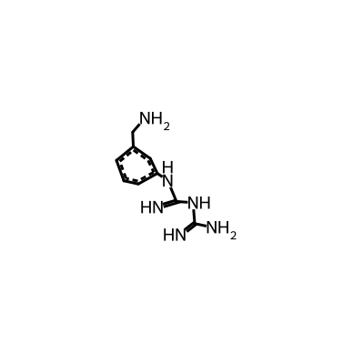 N=C(N)NC(=N)Nc1cccc(CN)c1